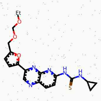 CCOCOCc1ccc(-c2cnc3ccc(NC(=S)NC4CC4)nc3n2)o1